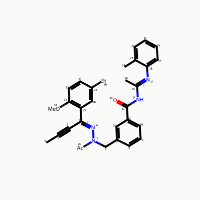 CC#C/C(=N\N(Cc1cccc(C(=O)N/C(C)=N/c2ccccc2C)c1)C(C)=O)c1cc(CC)ccc1OC